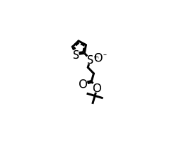 CC(C)(C)OC(=O)CC[S+]([O-])c1cccs1